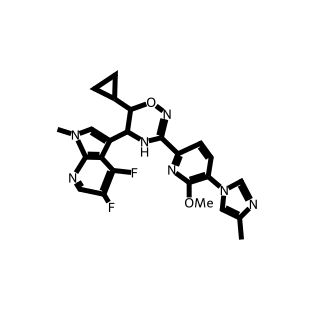 COc1nc(C2=NOC(C3CC3)C(c3cn(C)c4ncc(F)c(F)c34)N2)ccc1-n1cnc(C)c1